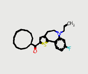 C=CCN1CCc2cc(C(=O)C3CCCCCCCCCC3)sc2-c2ccc(F)cc21